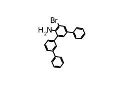 Nc1c(Br)cc(-c2ccccc2)cc1-c1cccc(-c2ccccc2)c1